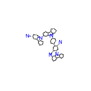 N#Cc1ccc2c(c1)c1ccccc1n2-c1ccc2c3ccccc3n(-c3ccc(-c4cc(C#N)c(-n5c6ccccc6c6ccccc65)cc4C#N)cc3)c2c1